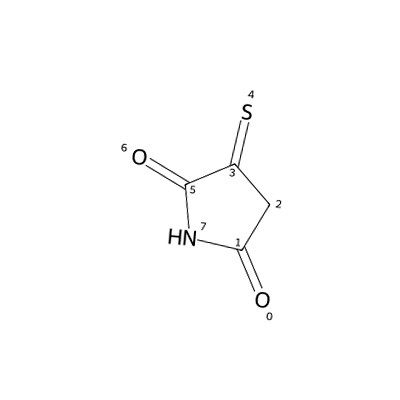 O=C1CC(=S)C(=O)N1